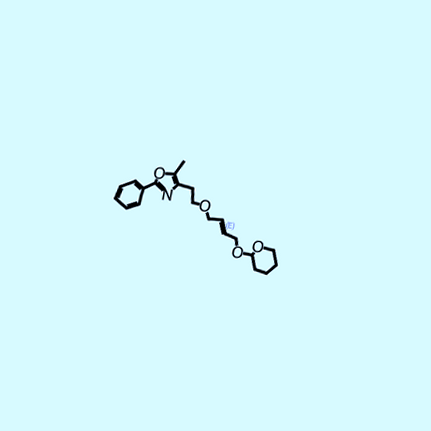 Cc1oc(-c2ccccc2)nc1CCOC/C=C/COC1CCCCO1